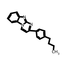 CCCCc1ccc(-c2ccn3c(n2)nc2ccccc23)cc1